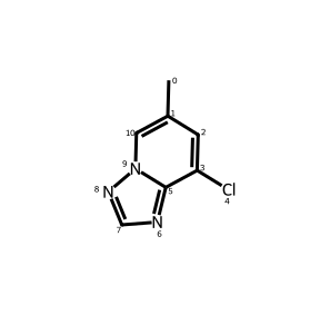 Cc1cc(Cl)c2ncnn2c1